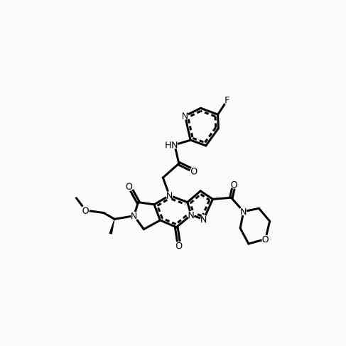 COC[C@H](C)N1Cc2c(n(CC(=O)Nc3ccc(F)cn3)c3cc(C(=O)N4CCOCC4)nn3c2=O)C1=O